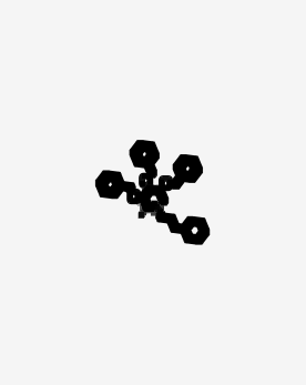 C[C@@H]1[C@@H](OCc2ccccc2)[C@H](OCc2ccccc2)[C@@H](OCc2ccccc2)CN1CCCC1CCCCC1